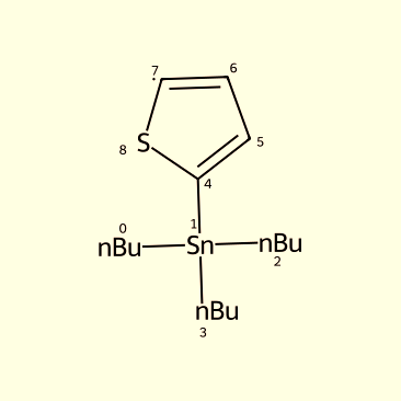 CCC[CH2][Sn]([CH2]CCC)([CH2]CCC)[c]1cc[c]s1